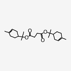 CC1=CCC(C(C)(C)OC(=O)CCC(=O)OC(C)(C)C2CC=C(C)CC2)CC1